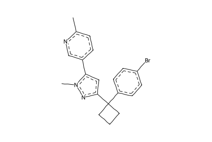 Cc1ccc(-c2cc(C3(c4ccc(Br)cc4)CCC3)nn2C)cn1